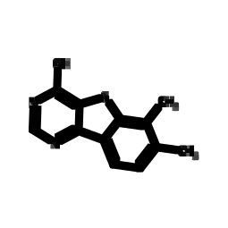 Cc1ccc2c(sc3c(O)ncnc32)c1C